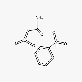 NC(=O)N=S(=O)=O.O=[SH](=O)c1ccccc1